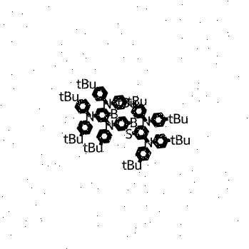 CC(C)(C)c1ccc(N(c2ccc(C(C)(C)C)cc2)c2cc3c4c(c2)N(c2ccc(C(C)(C)C)cc2)c2ccc(C(C)(C)C)cc2B4c2cc4c(cc2S3)N(c2ccc(C(C)(C)C)cc2)c2cc(N(c3ccc(C(C)(C)C)cc3)c3ccc(C(C)(C)C)cc3)cc3c2B4c2cc(C(C)(C)C)ccc2N3c2ccc(C(C)(C)C)cc2)cc1